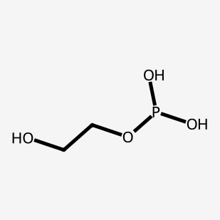 OCCOP(O)O